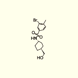 Cc1ccc(S(=O)(=O)N[C@H]2CC[C@H](CO)CC2)cc1Br